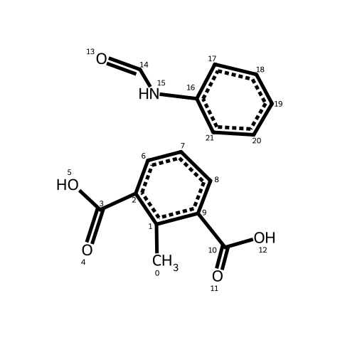 Cc1c(C(=O)O)cccc1C(=O)O.O=CNc1ccccc1